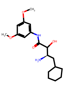 COc1cc(NC(=O)C(O)[C@H](N)CC2CCCCC2)cc(OC)c1